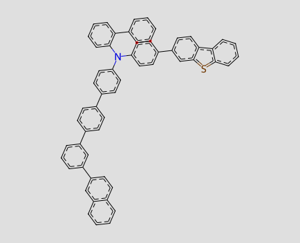 c1ccc(-c2ccccc2N(c2ccc(-c3ccc(-c4cccc(-c5ccc6ccccc6c5)c4)cc3)cc2)c2ccc(-c3ccc4c(c3)sc3ccccc34)cc2)cc1